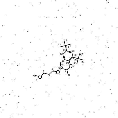 COCCCOPC(C)Oc1ccc(C(C)(C)C)cc1C(C)(C)C